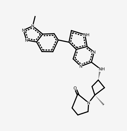 Cn1nnc2ccc(-c3c[nH]c4nc(N[C@H]5C[C@](C)(N6CCCC6=O)C5)ncc34)cc21